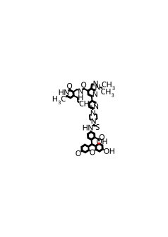 CCCc1cc(C)[nH]c(=O)c1CNC(=O)c1cc(-c2ccc(N3CCN(C(=S)Nc4ccc(-c5c6ccc(=O)cc-6oc6cc(O)ccc56)c(C(=O)O)c4)CC3)nc2)nc2c1cnn2C(C)C